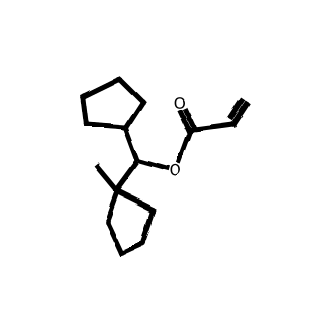 C=CC(=O)OC(C1CCCC1)C1(C)CCCC1